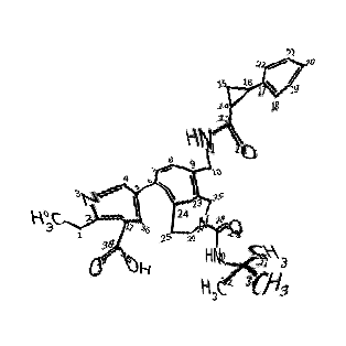 CCc1ncc(-c2ccc(CNC(=O)C3CC3c3ccccc3)c3c2CCN(C(=O)NC(C)(C)C)C3)cc1C(=O)O